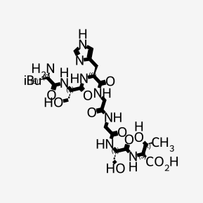 CC[C@H](C)[C@H](N)C(=O)N[C@@H](CO)C(=O)N[C@@H](Cc1c[nH]cn1)C(=O)NCC(=O)NCC(=O)N[C@@H](CO)C(=O)N[C@H](C(=O)O)[C@@H](C)O